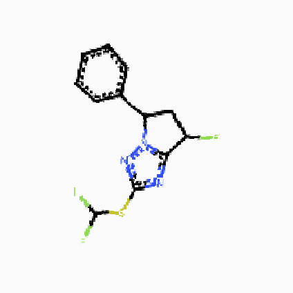 FC(F)Sc1nc2n(n1)C(c1ccccc1)CC2F